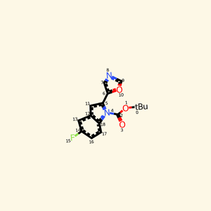 CC(C)(C)OC(=O)n1c(-c2cnco2)cc2cc(F)ccc21